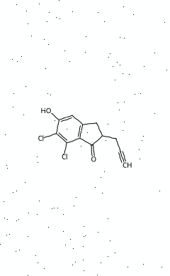 C#CCC1Cc2cc(O)c(Cl)c(Cl)c2C1=O